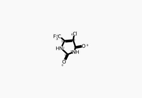 O=c1[nH]c(C(F)(F)F)c(Cl)c(=O)[nH]1